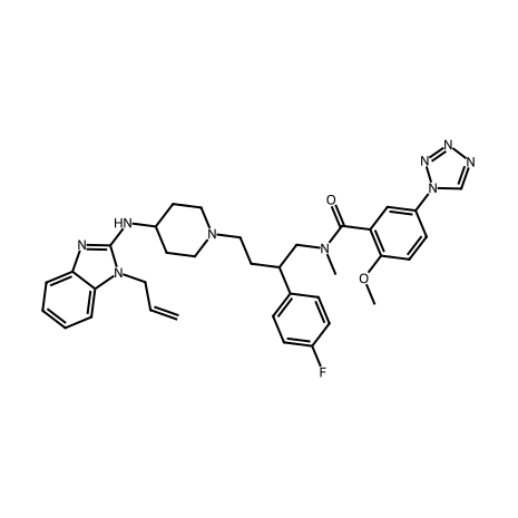 C=CCn1c(NC2CCN(CCC(CN(C)C(=O)c3cc(-n4cnnn4)ccc3OC)c3ccc(F)cc3)CC2)nc2ccccc21